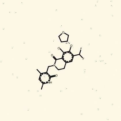 Cc1cc(C)c(CN2CCc3cc(C(F)F)c(O[C@@H]4CCOC4)c(Cl)c3C2=O)c(=O)[nH]1